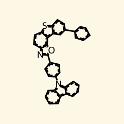 c1ccc(-c2ccc3sc4ccc5nc(-c6ccc(-n7c8ccccc8c8ccccc87)cc6)oc5c4c3c2)cc1